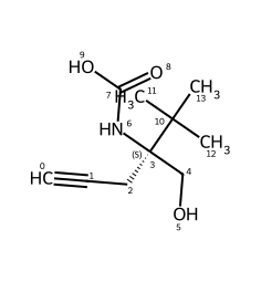 C#CC[C@](CO)(NC(=O)O)C(C)(C)C